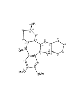 COc1cc2c(cc1OC)N(C(=O)O)C(OC1CCCCO1)C1C[C@H](O)CCN1C2=O